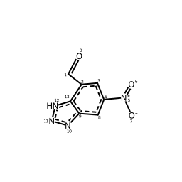 O=Cc1cc([N+](=O)[O-])cc2nn[nH]c12